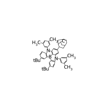 Cc1cc(C)cc(N2c3ccc(C(C)(C)C)cc3B3c4cc(C(C)(C)C)ccc4N(c4cc(C)cc(C)c4)c4cc(C5CC6CC7CCC5C(C7)C6)cc2c43)c1